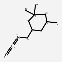 C[C]1CC(CN=C=O)CC(C)(C)C1